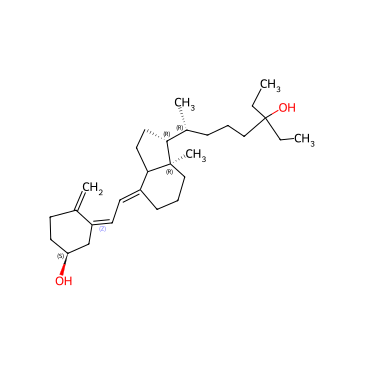 C=C1CC[C@H](O)C/C1=C/C=C1CCC[C@@]2(C)C1CC[C@@H]2[C@H](C)CCCC(O)(CC)CC